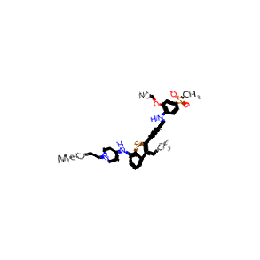 COCCN1CCC(Nc2cccc3c(CC(F)(F)F)c(C#CCNc4ccc(S(C)(=O)=O)cc4OCC#N)sc23)CC1